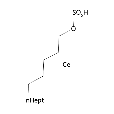 CCCCCCCCCCCCOS(=O)(=O)O.[Ce]